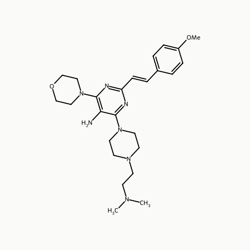 COc1ccc(C=Cc2nc(N3CCOCC3)c(N)c(N3CCN(CCN(C)C)CC3)n2)cc1